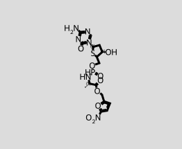 C[C@H](N[PH](=O)OCC1S[C@@H](n2cnc(N)nc2=O)C[C@H]1O)C(=O)OCc1ccc([N+](=O)[O-])o1